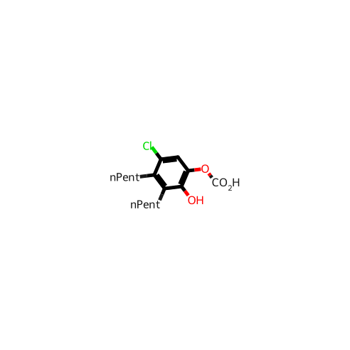 CCCCCc1c(Cl)cc(OC(=O)O)c(O)c1CCCCC